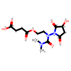 CN(C)C(=O)N(CCOC(=O)CCC(=O)O)N1C(=O)CC(O)C1=O